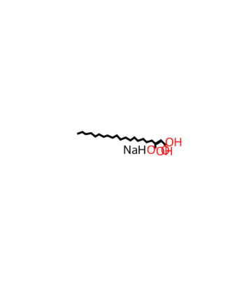 CCCCCCCCCCCCCCCCCCC(=CC(=O)O)C(=O)O.[NaH]